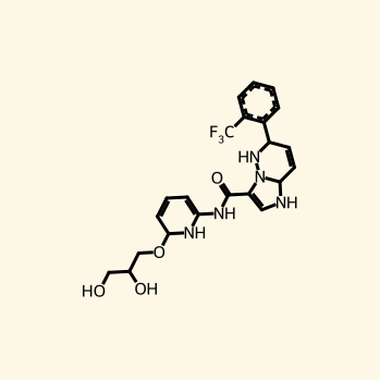 O=C(NC1=CC=CC(OCC(O)CO)N1)C1=CNC2C=CC(c3ccccc3C(F)(F)F)NN12